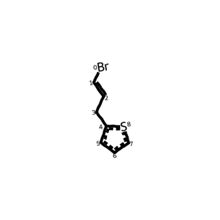 BrC=CCc1cccs1